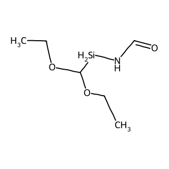 CCOC(OCC)[SiH2]NC=O